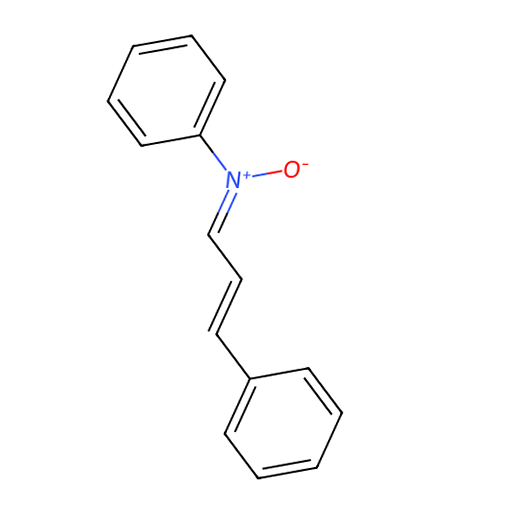 [O-][N+](=CC=Cc1ccccc1)c1ccccc1